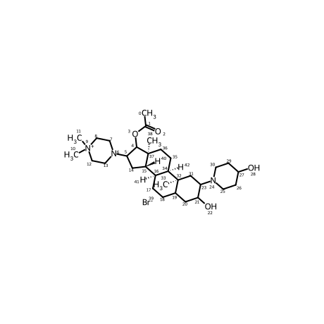 CC(=O)OC1C(N2CC[N+](C)(C)CC2)C[C@H]2[C@@H]3CCC4CC(O)C(N5CCC(O)CC5)C[C@]4(C)[C@@H]3CC[C@]12C.[Br-]